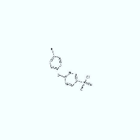 O=S(=O)(Cl)c1ccc(Oc2ccc(F)cc2)nc1